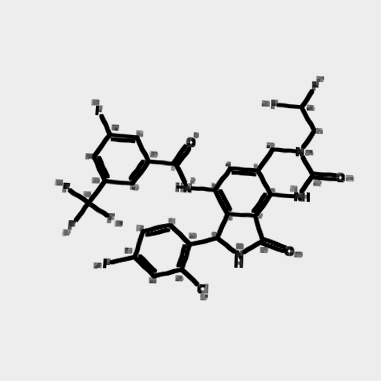 O=C(Nc1cc2c(c3c1C(c1ccc(F)cc1Cl)NC3=O)NC(=O)N(CC(F)F)C2)c1cc(F)cc(C(F)(F)F)c1